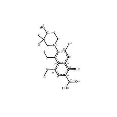 CCc1c(N2CCC(O)C(C)(C)C2)c(F)cc2c(=O)c(C(=O)O)cn(CC)c12